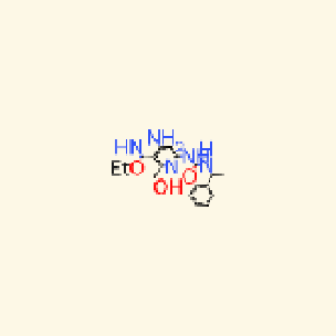 CCOC(=N)c1c(N)cc(NC(=O)NC(C)c2ccccc2)nc1CO